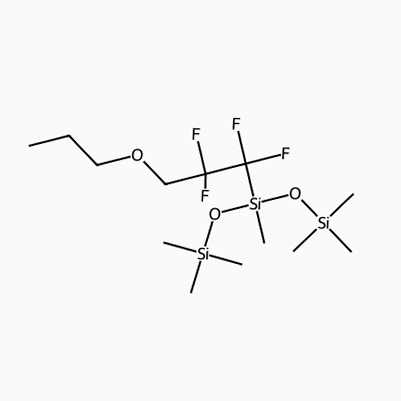 CCCOCC(F)(F)C(F)(F)[Si](C)(O[Si](C)(C)C)O[Si](C)(C)C